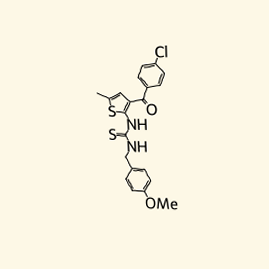 COc1ccc(CNC(=S)Nc2sc(C)cc2C(=O)c2ccc(Cl)cc2)cc1